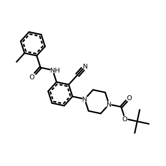 Cc1ccccc1C(=O)Nc1cccc(N2CCN(C(=O)OC(C)(C)C)CC2)c1C#N